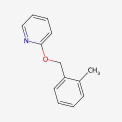 Cc1ccccc1COc1ccccn1